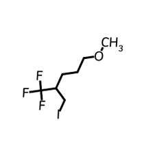 COCCCC(CI)C(F)(F)F